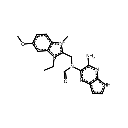 CCn1c(CN(C=O)c2nc3cc[nH]c3nc2N)[n+](C)c2ccc(OC)cc21